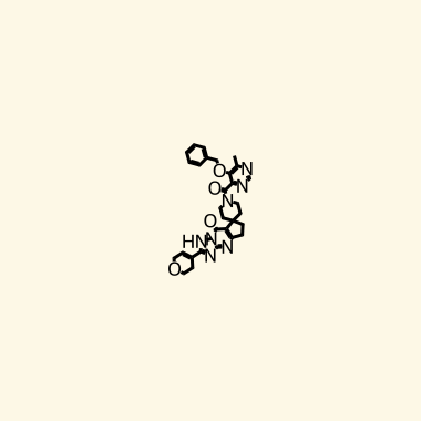 Cc1ncnc(C(=O)N2CCC3(CCc4nc5nc(C6=CCOCC6)[nH]n5c(=O)c43)CC2)c1OCc1ccccc1